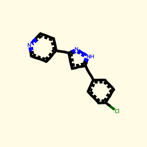 Clc1ccc(-c2cc(-c3ccncc3)n[nH]2)cc1